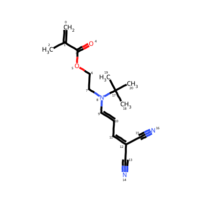 C=C(C)C(=O)OCCN(C=CC=C(C#N)C#N)C(C)(C)C